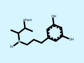 CCCCCC(C)C(C)N(CC)CCCc1cc(O)cc(O)c1